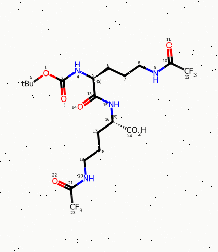 CC(C)(C)OC(=O)N[C@@H](CCCNC(=O)C(F)(F)F)C(=O)N[C@@H](CCCNC(=O)C(F)(F)F)C(=O)O